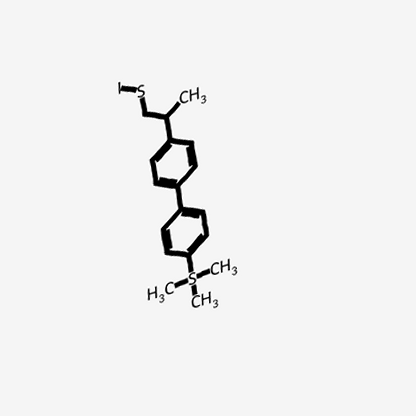 CC(CSI)c1ccc(-c2ccc(S(C)(C)C)cc2)cc1